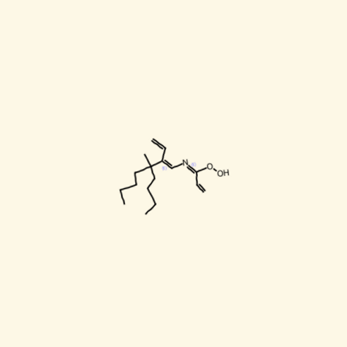 C=C/C(=C\N=C(/C=C)OO)C(C)(CCCC)CCCC